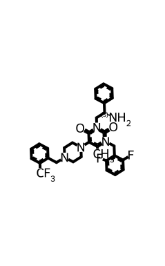 Cc1c(N2CCN(Cc3ccccc3C(F)(F)F)CC2)c(=O)n(C[C@@H](N)c2ccccc2)c(=O)n1Cc1c(F)cccc1F